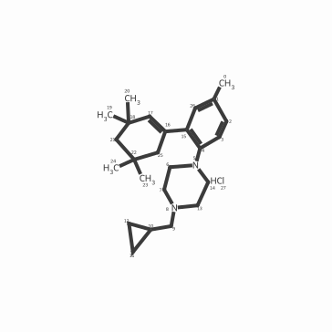 Cc1ccc(N2CCN(CC3CC3)CC2)c(C2=CC(C)(C)CC(C)(C)C2)c1.Cl